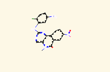 Cn1c(=O)c2cc([N+](=O)[O-])ccc2c2nc(Nc3cc(N)ccc3F)ncc21